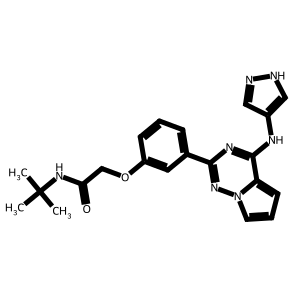 CC(C)(C)NC(=O)COc1cccc(-c2nc(Nc3cn[nH]c3)c3cccn3n2)c1